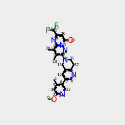 COc1cc(C)c(-c2cnc3c(c2)CN(c2nn4c(=O)cc(C(F)F)nc4c(C)c2C)CC3)cn1